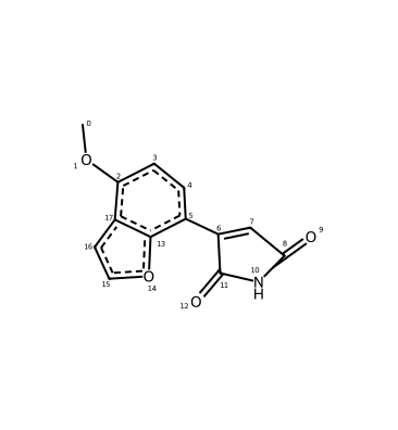 COc1ccc(C2=CC(=O)NC2=O)c2occc12